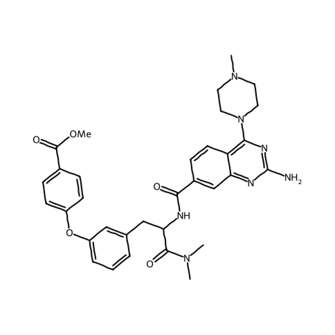 COC(=O)c1ccc(Oc2cccc(CC(NC(=O)c3ccc4c(N5CCN(C)CC5)nc(N)nc4c3)C(=O)N(C)C)c2)cc1